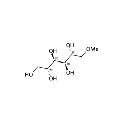 COC[C@@H](O)[C@@H](O)[C@H](O)[C@H](O)CO